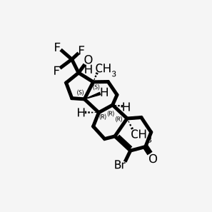 C[C@]12CCC(=O)C(Br)=C1CC[C@@H]1[C@H]2CC[C@@]2(C)[C@H]1CCC2(O)C(F)(F)F